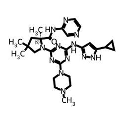 CN1CCN(c2nc(Nc3cc(C4CC4)[nH]n3)nc(N3CC(C)(C)C[C@@]3(C)C(=O)Nc3cnccn3)n2)CC1